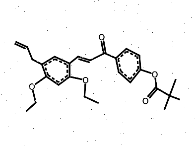 C=CCc1cc(/C=C/C(=O)c2ccc(OC(=O)C(C)(C)C)cc2)c(OCC)cc1OCC